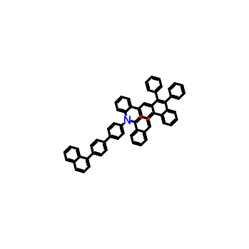 c1ccc(-c2c(-c3ccccc3)c3cc(-c4ccccc4N(c4ccc(-c5ccc(-c6cccc7ccccc67)cc5)cc4)c4cccc5ccccc45)ccc3c3ccccc23)cc1